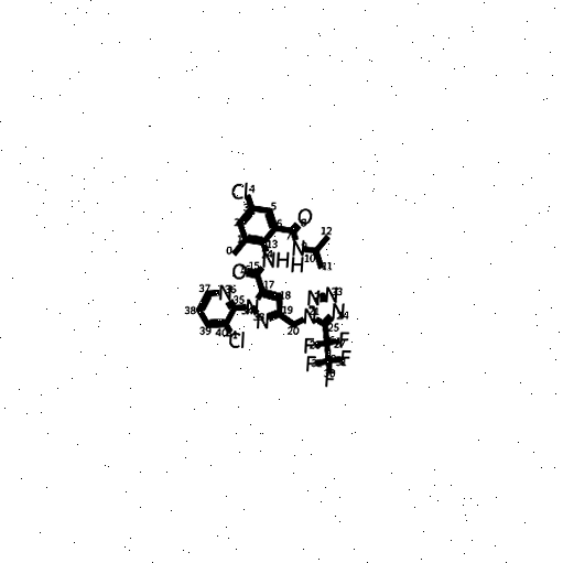 Cc1cc(Cl)cc(C(=O)NC(C)C)c1NC(=O)c1cc(Cn2nnnc2C(F)(F)C(F)(F)F)nn1-c1ncccc1Cl